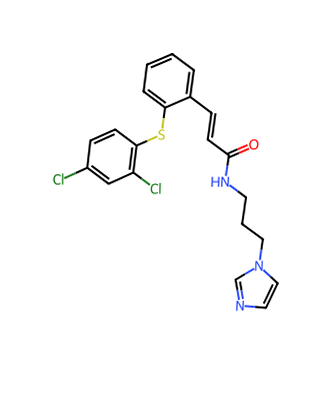 O=C(C=Cc1ccccc1Sc1ccc(Cl)cc1Cl)NCCCn1ccnc1